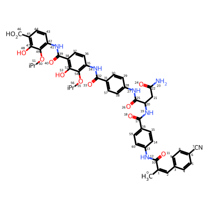 CC(=Cc1ccc(C#N)cc1)C(=O)Nc1ccc(C(=O)NC(CC(N)=O)C(=O)Nc2ccc(C(=O)Nc3ccc(C(=O)Nc4ccc(C(=O)O)c(O)c4OC(C)C)c(O)c3OC(C)C)cc2)cc1